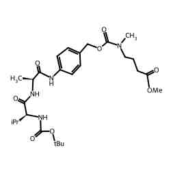 COC(=O)CCCN(C)C(=O)OCc1ccc(NC(=O)[C@H](C)NC(=O)[C@@H](NC(=O)OC(C)(C)C)C(C)C)cc1